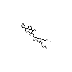 CCCN(CCCN(C)CCN1C(=O)c2cccc3c(-n4ccnc4)ccc(c23)C1=O)C(=O)OCC